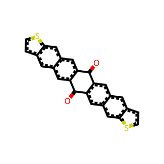 O=C1c2cc3cc4ccsc4cc3cc2C(=O)c2cc3cc4ccsc4cc3cc21